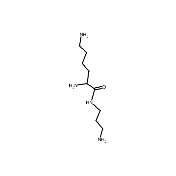 NCCCCC(N)C(=O)NCCCN